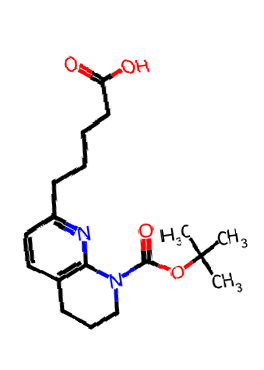 CC(C)(C)OC(=O)N1CCCc2ccc(CCCCC(=O)O)nc21